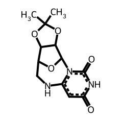 CC1(C)OC2C3CNc4cc(=O)[nH]c(=O)n4C(O3)C2O1